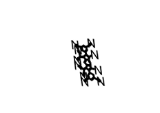 N#CC1=CC(C2=C(C#N)c3cc4c(cc3C2=C(C#N)C#N)C(=C(C#N)C#N)C(c2cc(C#N)cc(C#N)c2)=C4C#N)CC(C#N)=C1